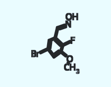 COc1cc(Br)cc(/C=N/O)c1F